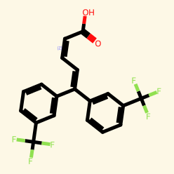 O=C(O)/C=C\C=C(c1cccc(C(F)(F)F)c1)c1cccc(C(F)(F)F)c1